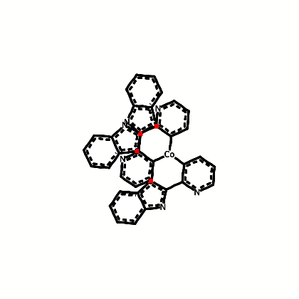 c1cnc(-c2nc3ccccc3s2)[c]([Co]([c]2cccnc2-c2nc3ccccc3s2)[c]2cccnc2-c2nc3ccccc3s2)c1